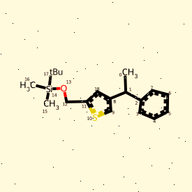 CC(c1ccccc1)c1csc(CO[Si](C)(C)C(C)(C)C)c1